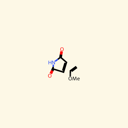 C=COC.O=C1C=CC(=O)N1